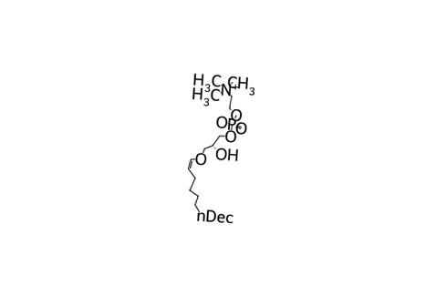 CCCCCCCCCCCCCC/C=C\OC[C@@H](O)COP(=O)([O-])OCC[N+](C)(C)C